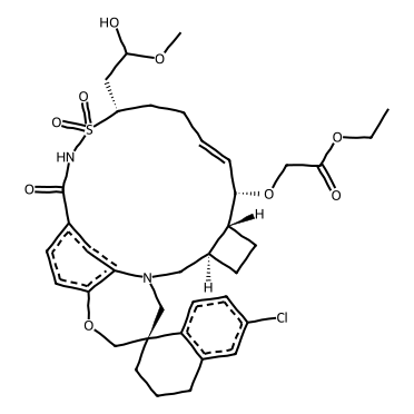 CCOC(=O)CO[C@H]1/C=C/CC[C@@H](CC(O)OC)S(=O)(=O)NC(=O)c2ccc3c(c2)N(C[C@@H]2CC[C@H]21)C[C@@]1(CCCc2cc(Cl)ccc21)CO3